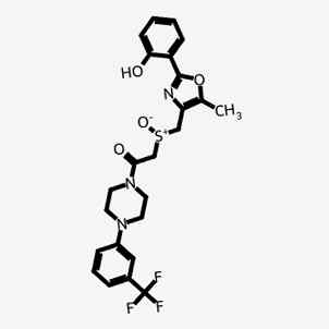 Cc1oc(-c2ccccc2O)nc1C[S+]([O-])CC(=O)N1CCN(c2cccc(C(F)(F)F)c2)CC1